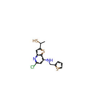 CC(S)c1cc2nc(Cl)cc(NCc3cccs3)c2s1